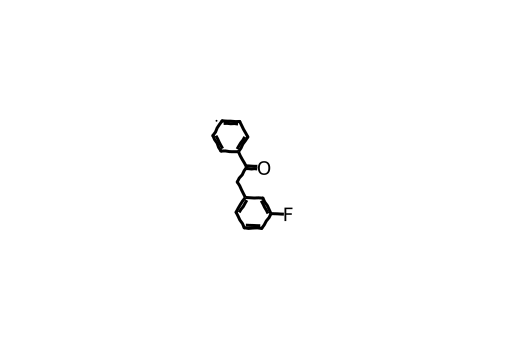 O=C(Cc1cccc(F)c1)c1cc[c]cc1